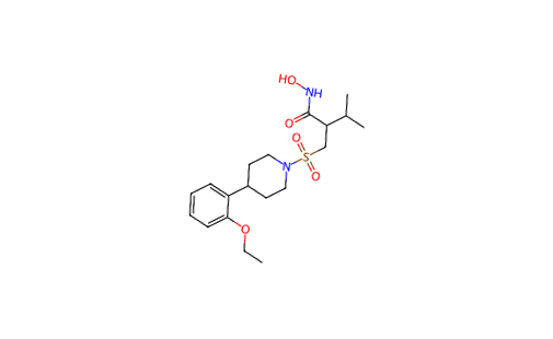 CCOc1ccccc1C1CCN(S(=O)(=O)CC(C(=O)NO)C(C)C)CC1